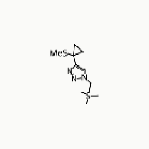 CSC1(c2cn(CS(C)(C)C)nn2)CC1